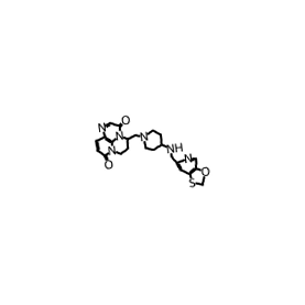 O=c1ccc2ncc(=O)n3c2n1CCC3CN1CCC(NCc2cc3c(cn2)OCS3)CC1